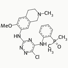 COc1cc2c(cc1Nc1nnc(Cl)c(Nc3ccccc3P(C)(C)=O)n1)CN(C)CC2